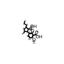 CCCC1CC(C)C2c3ccc(OC)c(C(=O)O)c3OB(O)C12